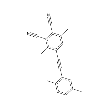 Cc1ccc(C)c(C#Cc2cc(C)c(C#N)c(C#N)c2C)c1